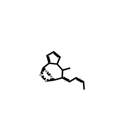 C/C=C\C=C1\c2nnc(nn2)C2=CC=CC2C1C